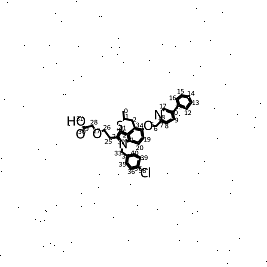 CC1Cc2c(OCc3ccc(-c4ccccc4)cn3)ccc3c2c(c(CCOCC(=O)O)n3Cc2ccc(Cl)cc2)S1